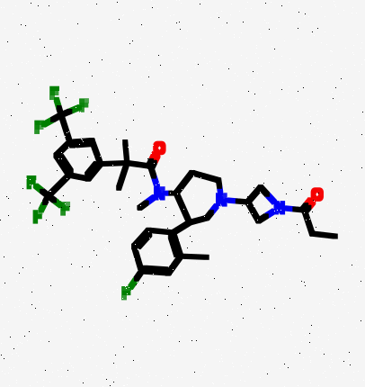 CCC(=O)N1CC(N2CCC(N(C)C(=O)C(C)(C)c3cc(C(F)(F)F)cc(C(F)(F)F)c3)C(c3ccc(F)cc3C)C2)C1